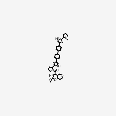 COC(=O)NC(C(=O)N1CCCC1c1nc(-c2ccc(-c3ccc(-c4c[nH]c(C5CCCN5C)n4)cc3)cc2)c[nH]1)C1CCCOC1